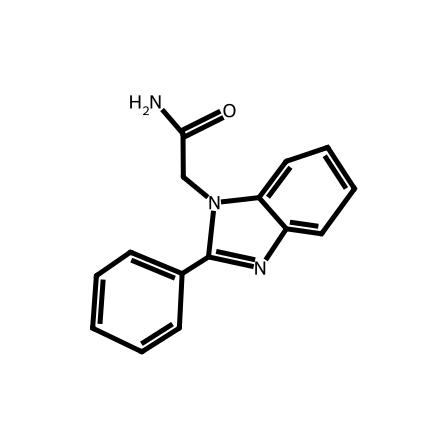 NC(=O)Cn1c(-c2ccccc2)nc2ccccc21